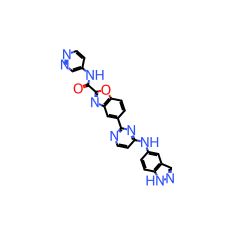 O=C(Nc1ccnnc1)c1nc2cc(-c3nccc(Nc4ccc5[nH]ncc5c4)n3)ccc2o1